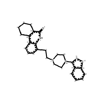 O=c1[nH]c2c(CCN3CCN(c4nsc5ccccc45)CC3)cccc2c2c1CCCC2